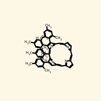 Cc1cc(C)c(C2=CC3=CC4=NC(=CC5=NC(=CC6=NC(=C(c7c(C)cc(C)cc7C)C2=N3)C(c2c(C)cc(C)cc2C)=C6c2c(C)cc(C)cc2C)C=C5)C=C4)c(C)c1